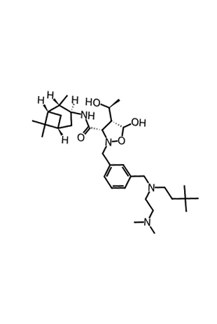 C[C@@H]1[C@@H](NC(=O)[C@@H]2[C@H]([C@H](C)O)C(O)ON2Cc2cccc(CN(CCN(C)C)CCC(C)(C)C)c2)C[C@H]2C[C@@H]1C2(C)C